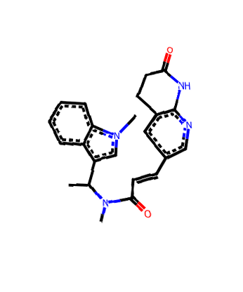 CC(c1cn(C)c2ccccc12)N(C)C(=O)C=Cc1cnc2c(c1)CCC(=O)N2